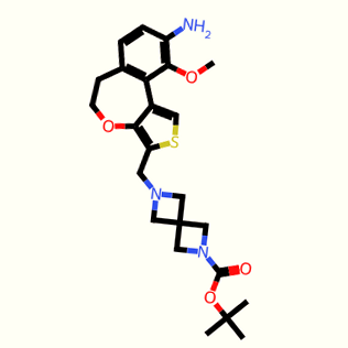 COc1c(N)ccc2c1-c1csc(CN3CC4(C3)CN(C(=O)OC(C)(C)C)C4)c1OCC2